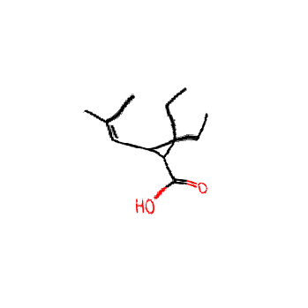 CCC1(CC)C(C=C(C)C)C1C(=O)O